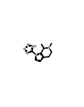 CC1c2c(ccn2-c2nnn[nH]2)CCN1C